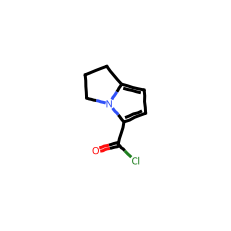 O=C(Cl)c1ccc2n1CCC2